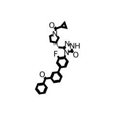 O=C(c1ccccc1)c1cccc(-c2ccc(-n3c(C[C@@H]4CCN(C(=O)C5CC5)C4)n[nH]c3=O)c(F)c2)c1